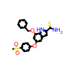 CS(=O)(=O)c1ccc(Oc2cc(OCc3ccccc3)c3[nH]c(C(N)=S)cc3c2)cc1